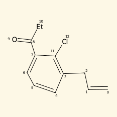 C=CCc1cccc(C(=O)CC)c1Cl